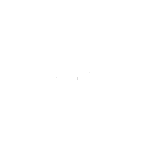 O=[N+]([O-])c1cc(Cl)c2c(n1)CCO2